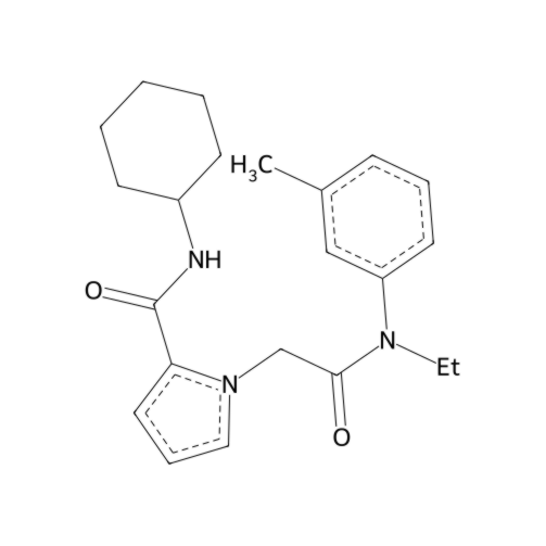 CCN(C(=O)Cn1cccc1C(=O)NC1CCCCC1)c1cccc(C)c1